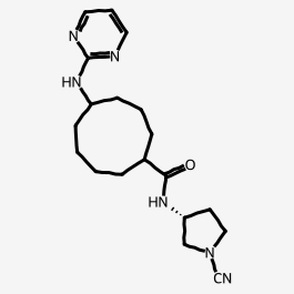 N#CN1CC[C@@H](NC(=O)C2CCCCC(Nc3ncccn3)CCC2)C1